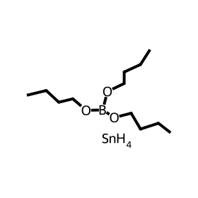 CCCCOB(OCCCC)OCCCC.[SnH4]